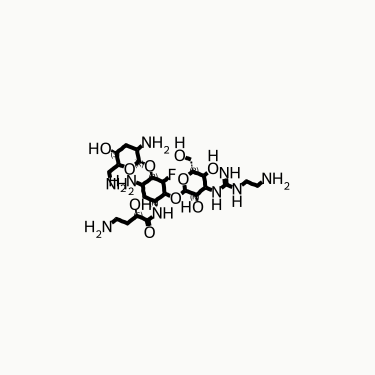 N=C(NCCN)NC1C(O)[C@@H](CO)OC(OC2C(F)[C@H](O[C@H]3OC(CN)[C@@H](O)CC3N)C(N)C[C@H]2NC(=O)[C@@H](O)CCN)[C@@H]1O